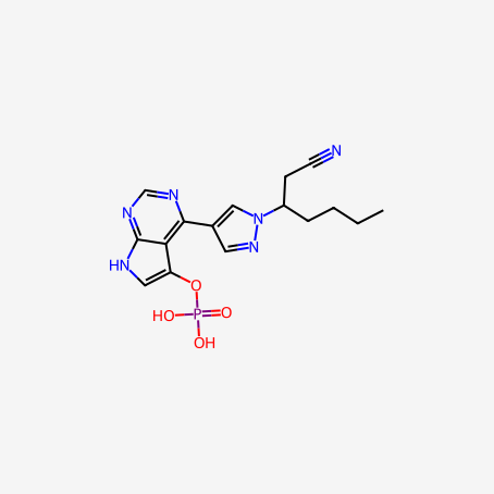 CCCCC(CC#N)n1cc(-c2ncnc3[nH]cc(OP(=O)(O)O)c23)cn1